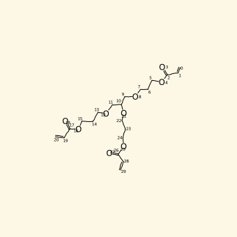 C=CC(=O)OCCCOCC(COCCCOC(=O)C=C)OCCCOC(=O)C=C